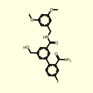 COc1cc(CNC(=O)c2cc(CO)cc(-c3ccc(F)cc3C(N)=O)c2)cc(OC)c1